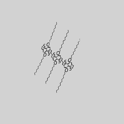 CCCCCCCCCCCCOc1cc2cc(-c3cc4cc(OCCCCCCCCCCCC)c5c6sc(-c7cc8cc(OCCCCCCCCCCCC)c9c%10sccc%10cc(OCCCCCCCCCCCC)c9c8s7)cc6cc(OCCCCCCCCCCCC)c5c4s3)sc2c2c(OCCCCCCCCCCCC)cc3ccsc3c12